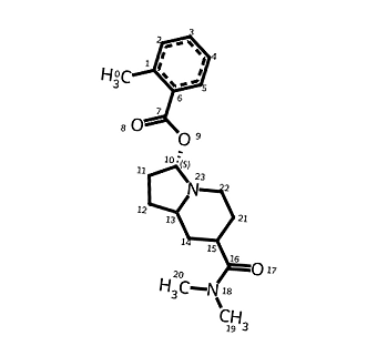 Cc1ccccc1C(=O)O[C@H]1CCC2CC(C(=O)N(C)C)CCN21